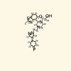 Cc1nc2cc(OC([C@H](C)O)N3CCN(CCn4cc(-c5ccc(F)cc5)cn4)CC3)ccc2s1